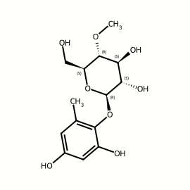 CO[C@@H]1[C@@H](O)[C@H](O)[C@@H](Oc2c(C)cc(O)cc2O)O[C@H]1CO